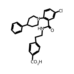 O=C(O)c1ccc(CCNC(=O)c2cc(Cl)ccc2N2CCC(c3ccccc3)CC2)cc1